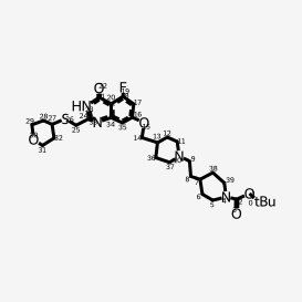 CC(C)(C)OC(=O)N1CCC(CCN2CCC(COc3cc(F)c4c(=O)[nH]c(CSC5CCOCC5)nc4c3)CC2)CC1